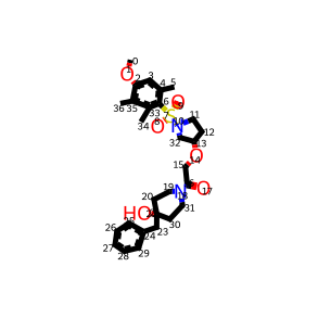 COc1cc(C)c(S(=O)(=O)N2CCC(OCC(=O)N3CCC(O)(Cc4ccccc4)CC3)C2)c(C)c1C